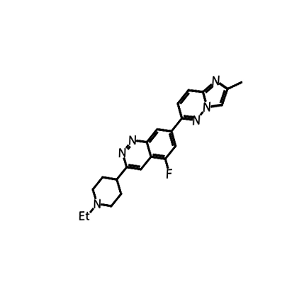 CCN1CCC(c2cc3c(F)cc(-c4ccc5nc(C)cn5n4)cc3nn2)CC1